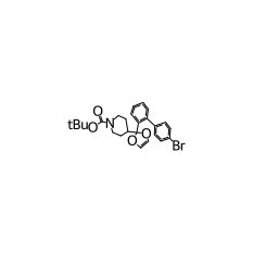 CC(C)(C)OC(=O)N1CCC(C2(c3ccccc3-c3ccc(Br)cc3)OC=CO2)CC1